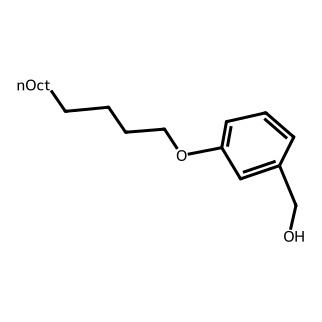 CCCCCCCCCCCCOc1cccc(CO)c1